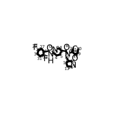 O=C(Nc1ccc(C(=O)N2Cc3cccnc3Oc3ccccc32)cn1)c1cc(F)ccc1F